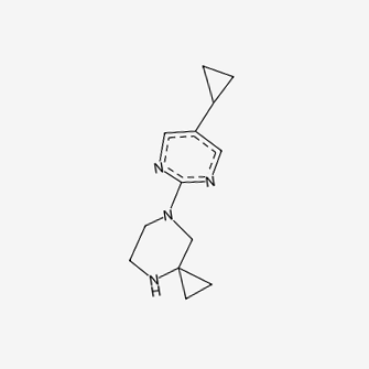 c1nc(N2CCNC3(CC3)C2)ncc1C1CC1